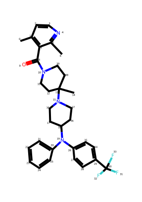 Cc1ccnc(C)c1C(=O)N1CCC(C)(N2CCC(N(c3ccccc3)c3ccc(C(F)(F)F)cc3)CC2)CC1